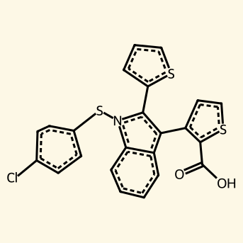 O=C(O)c1sccc1-c1c(-c2cccs2)n(Sc2ccc(Cl)cc2)c2ccccc12